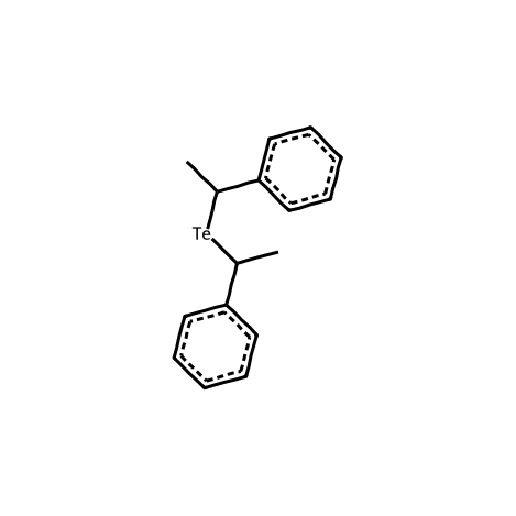 CC([Te]C(C)c1ccccc1)c1ccccc1